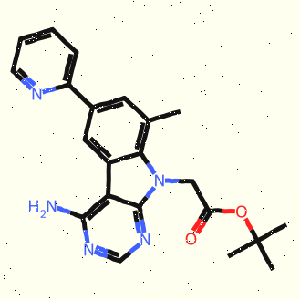 Cc1cc(-c2ccccn2)cc2c3c(N)ncnc3n(CC(=O)OC(C)(C)C)c12